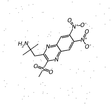 CC(C)(N)Cc1nc2cc([N+](=O)[O-])c([N+](=O)[O-])cc2nc1S(C)(=O)=O